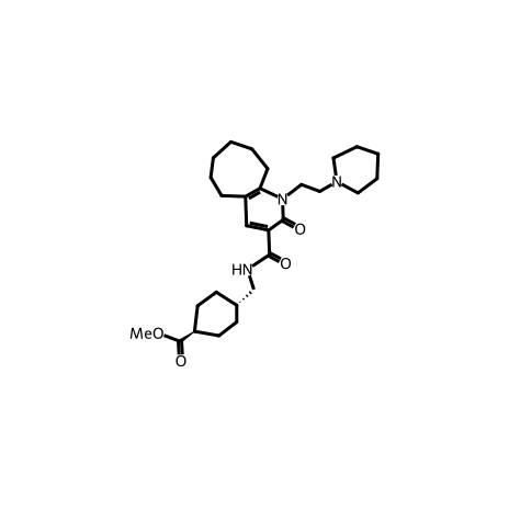 COC(=O)[C@H]1CC[C@H](CNC(=O)c2cc3c(n(CCN4CCCCC4)c2=O)CCCCCC3)CC1